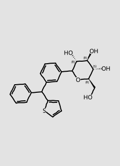 OC[C@H]1OC(c2cccc(C(c3ccccc3)c3cccs3)c2)[C@H](O)[C@@H](O)[C@@H]1O